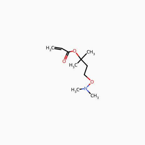 C=CC(=O)OC(C)(C)CCON(C)C